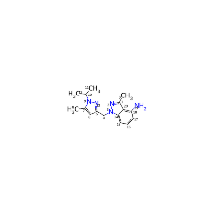 Cc1nn(Cc2cc(C)n(C(C)C)n2)c2cccc(N)c12